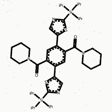 CC(C)[Si](c1ncc(-c2cc(C(=O)N3CCCCC3)c(-c3cnc([Si](C(C)C)(C(C)C)C(C)C)s3)cc2C(=O)N2CCCCC2)s1)(C(C)C)C(C)C